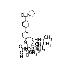 CC(C)NC(=O)C1=Cc2cc(-c3ccc(C(=O)N4CCCC4)cc3)ccc2N=C(N(C(=O)O)C(=O)O)C1(C(C)(C)C)C(C)(C)C